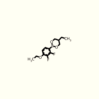 CCOc1ccc(B2OCC(CC)CO2)c(F)c1F